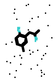 Cc1ccc(F)c(CC(C)F)c1